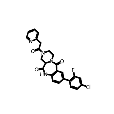 O=C1Nc2ccc(-c3ccc(Cl)cc3F)cc2C(=O)N2CCN(C(=O)Cc3ccccn3)CC12